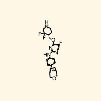 Fc1cnc(Nc2ccc(N3C4CCC3COC4)cc2)nc1OC[C@H]1CCNCC1(F)F